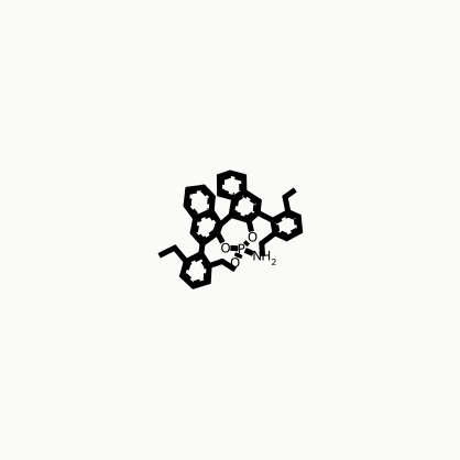 CCc1cccc(CC)c1-c1cc2ccccc2c2c1OP(N)(=O)Oc1c(-c3c(CC)cccc3CC)cc3ccccc3c1-2